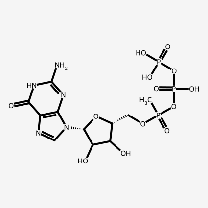 CP(=O)(OC[C@H]1O[C@@H](n2cnc3c(=O)[nH]c(N)nc32)C(O)C1O)OP(=O)(O)OP(=O)(O)O